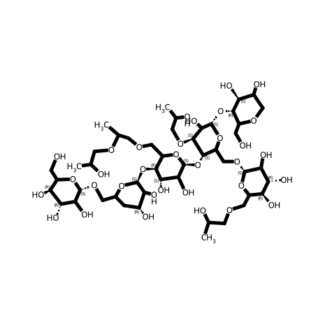 CC(O)COCC1O[C@H](OCC2O[C@@H](O[C@H]3C(CO)OCC(O)[C@@H]3O)C(O)[C@H](OCC(C)O)[C@H]2O[C@@H]2OC(COCC(C)OCC(C)O)[C@H](O[C@@H]3OC(CO[C@H]4OC(CO)[C@H](O)[C@@H](O)C4O)C[C@@H](O)C3O)[C@@H](O)C2O)C(O)[C@H](O)[C@H]1O